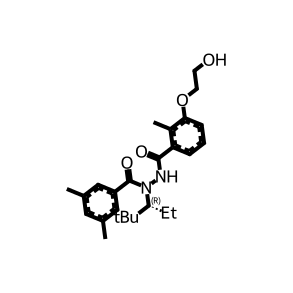 CC[C@@H](N(NC(=O)c1cccc(OCCO)c1C)C(=O)c1cc(C)cc(C)c1)C(C)(C)C